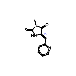 CN1C(=O)/C(=C/c2ccccn2)NC1=S